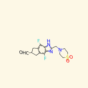 O=CC1Cc2c(c(F)c3[nH]c(CN4CCS(=O)(=O)CC4)nc3c2F)C1